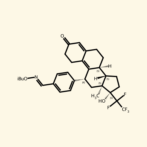 CC(C)CON=Cc1ccc([C@H]2C[C@@]3(C)[C@@H](CC[C@@]3(O)C(F)(F)C(F)(F)F)[C@@H]3CCC4=CC(=O)CCC4=C32)cc1